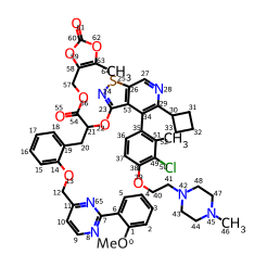 COc1ccccc1-c1nccc(COc2ccccc2CC(Oc2nsc3cnc(C4CCC4)c(-c4ccc(OCCN5CCN(C)CC5)c(Cl)c4C)c23)C(=O)OCc2oc(=O)oc2C)n1